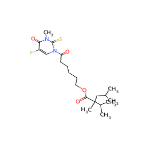 CC(C)CC(C)(C(=O)OCCCCCC(=O)n1cc(F)c(=O)n(C)c1=S)C(C)C